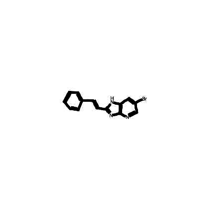 Brc1cnc2nc(C=Cc3ccccc3)[nH]c2c1